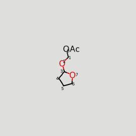 CC(=O)OCOC1CCCO1